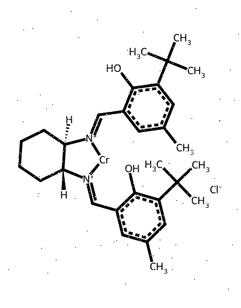 Cc1cc(C=[N+]2[Cr][N+](=Cc3cc(C)cc(C(C)(C)C)c3O)[C@@H]3CCCC[C@H]32)c(O)c(C(C)(C)C)c1.[Cl-]